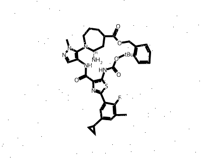 Cc1cc(C2CC2)cc(-c2nc(C(=O)Nc3cnn(C)c3N3CCCC(C(=O)OCc4ccccc4)C[C@@H]3N)c(NC(=O)OC(C)(C)C)s2)c1F